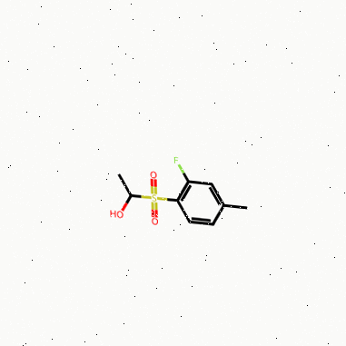 Cc1ccc(S(=O)(=O)C(C)O)c(F)c1